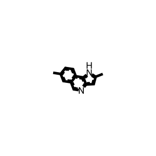 Cc1ccc2c(cnc3cc(C)[nH]c32)c1